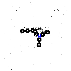 CC1(C)c2ccc(-c3ccc(-c4ccccc4)cc3)cc2-c2ccc(N(c3ccc(C4CCCCC4)cc3)c3ccc(C4CC5CCC4C5)cc3)cc21